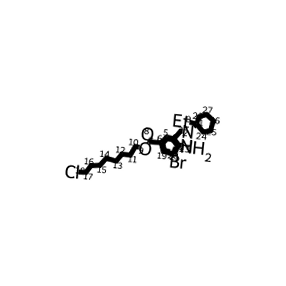 CCC1(NCc2cc(C(=O)OCCCCCCCCCl)cc(Br)c2N)CCCCC1